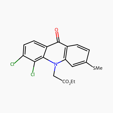 CCOC(=O)Cn1c2cc(SC)ccc2c(=O)c2ccc(Cl)c(Cl)c21